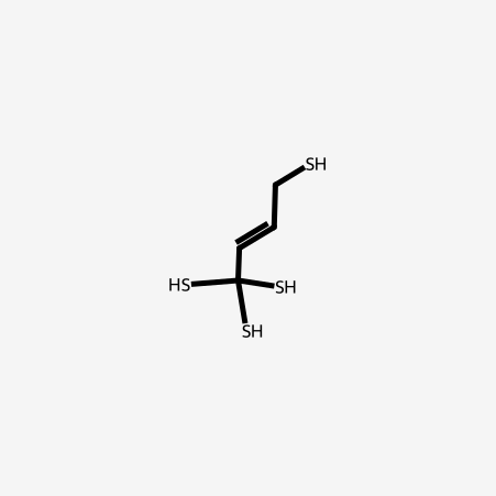 SCC=CC(S)(S)S